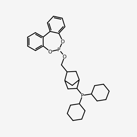 c1ccc2c(c1)op(OCC1CC3CC1CC3P(C1CCCCC1)C1CCCCC1)oc1ccccc12